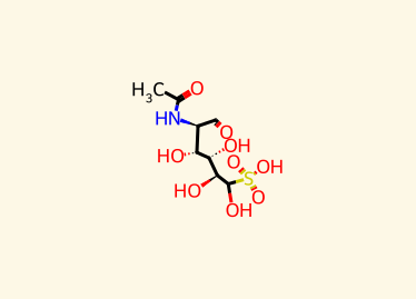 CC(=O)N[C@@H](C=O)[C@@H](O)[C@H](O)[C@H](O)C(O)S(=O)(=O)O